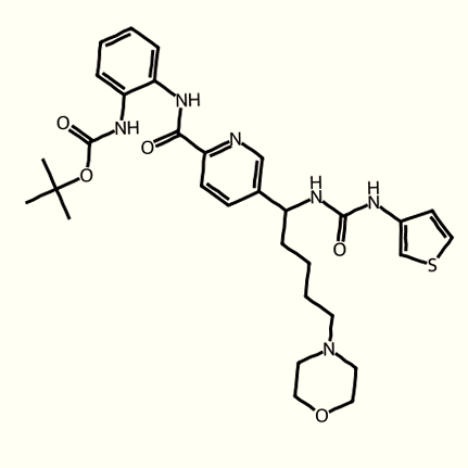 CC(C)(C)OC(=O)Nc1ccccc1NC(=O)c1ccc(C(CCCCN2CCOCC2)NC(=O)Nc2ccsc2)cn1